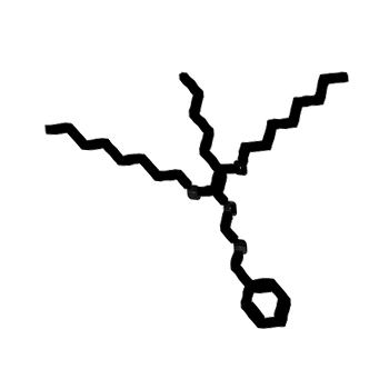 CCCCCCCCOC(CCCCC)=C(OCCCCCCCC)OCOCc1ccccc1